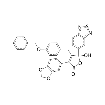 O=C1OC(O)(c2ccc3nsnc3c2)C(Cc2ccc(OCc3ccccc3)cc2)=C1c1ccc2c(c1)OCO2